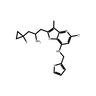 Cc1c(CC(N)CC2(F)CC2)oc2c(NCc3cccs3)cc(Cl)nc12